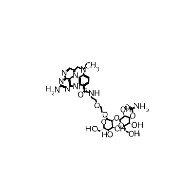 CN(Cc1cnc2nc(N)nc(N)c2n1)c1ccc(C(=O)NCCOCCOC2O[C@@H](CO)[C@@H](O)[C@H](O)[C@@H]2O[C@H]2O[C@H](CO)[C@@H](O)[C@H](OC(N)=O)[C@@H]2O)cc1